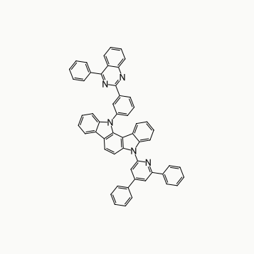 c1ccc(-c2cc(-c3ccccc3)nc(-n3c4ccccc4c4c3ccc3c5ccccc5n(-c5cccc(-c6nc(-c7ccccc7)c7ccccc7n6)c5)c34)c2)cc1